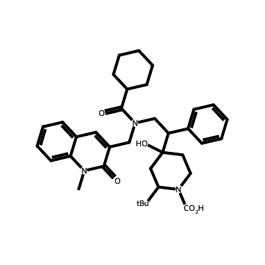 Cn1c(=O)c(CN(CC(c2ccccc2)C2(O)CCN(C(=O)O)C(C(C)(C)C)C2)C(=O)C2CCCCC2)cc2ccccc21